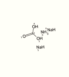 N.O=C(O)O.[NaH].[NaH]